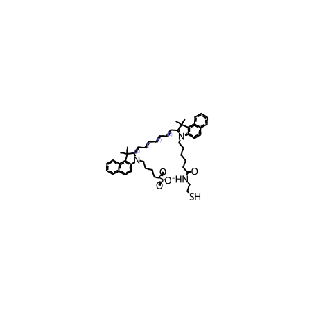 CC1(C)C(/C=C/C=C/C=C/C=C2\N(CCCCS(=O)(=O)[O-])c3ccc4ccccc4c3C2(C)C)=[N+](CCCCCC(=O)NCCS)c2ccc3ccccc3c21